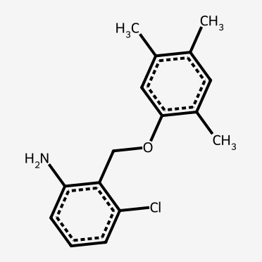 Cc1cc(C)c(OCc2c(N)cccc2Cl)cc1C